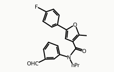 CCCN(C(=O)c1cc(-c2ccc(F)cc2)oc1C)c1cccc(C=O)c1